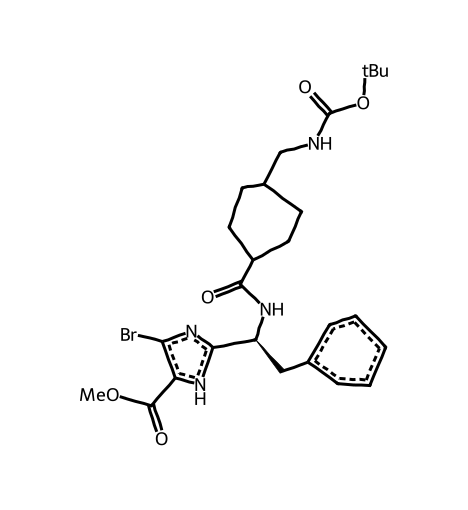 COC(=O)c1[nH]c([C@H](Cc2ccccc2)NC(=O)C2CCC(CNC(=O)OC(C)(C)C)CC2)nc1Br